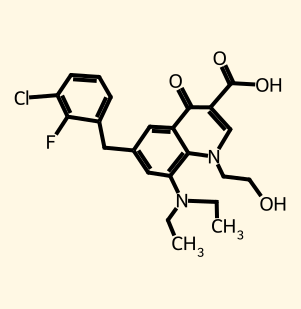 CCN(CC)c1cc(Cc2cccc(Cl)c2F)cc2c(=O)c(C(=O)O)cn(CCO)c12